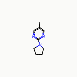 Cc1cnc(N2CCCC2)nc1